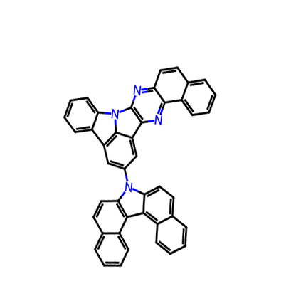 c1ccc2c(c1)ccc1nc3c(nc12)c1cc(-n2c4ccc5ccccc5c4c4c5ccccc5ccc42)cc2c4ccccc4n3c21